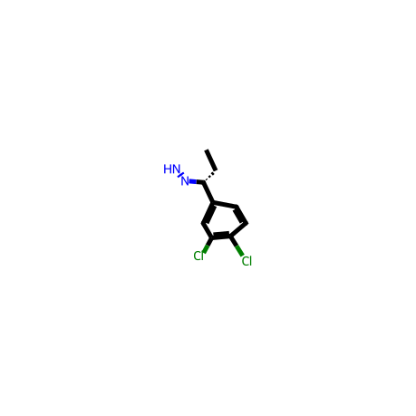 CC[C@@H](N=N)c1ccc(Cl)c(Cl)c1